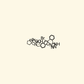 CCCC(=O)N(Cc1ccc2oc(-c3ccccc3-c3nnn[nH]3)c(Br)c2c1)CC1(C(=O)O)CCCC1